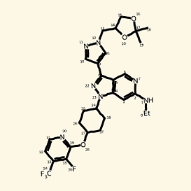 CCNc1cc2c(cn1)c(-c1cnn(CC3COC(C)(C)O3)c1)nn2C1CCC(Oc2nccc(C(F)(F)F)c2F)CC1